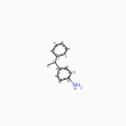 CC(c1ccccc1)c1ccc(N)cc1